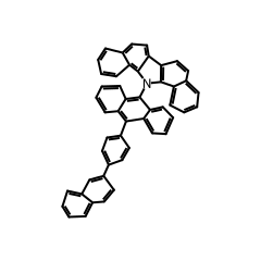 c1ccc2cc(-c3ccc(-c4c5ccccc5c(-n5c6c7ccccc7ccc6c6ccc7ccccc7c65)c5ccccc45)cc3)ccc2c1